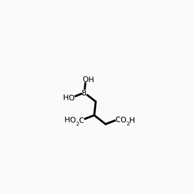 O=C(O)CC(CB(O)O)C(=O)O